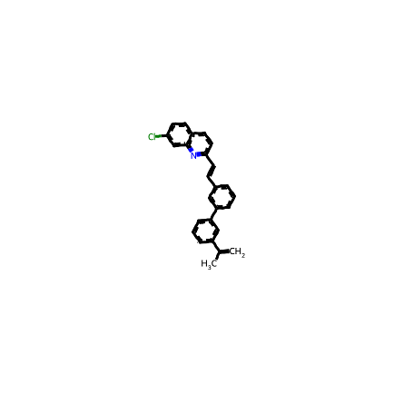 C=C(C)c1[c]ccc(-c2cccc(C=Cc3ccc4ccc(Cl)cc4n3)c2)c1